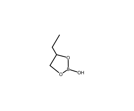 CCC1COB(O)O1